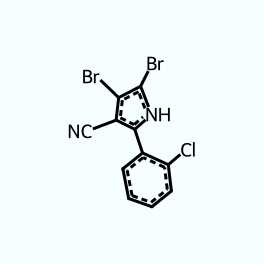 N#Cc1c(-c2ccccc2Cl)[nH]c(Br)c1Br